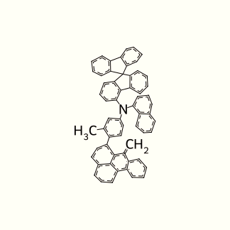 C=c1c2ccccc2c2cccc3ccc(-c4ccc(N(c5cccc6c5-c5ccccc5C65c6ccccc6-c6ccccc65)c5cccc6ccccc56)cc4C)c1c32